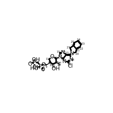 O=P(O)(O)CP(=O)(O)OC[C@H]1CO[C@@H](n2cnc3c(N4Cc5ccccc5C4)nc(Cl)nc32)[C@@H](F)[C@@H]1O